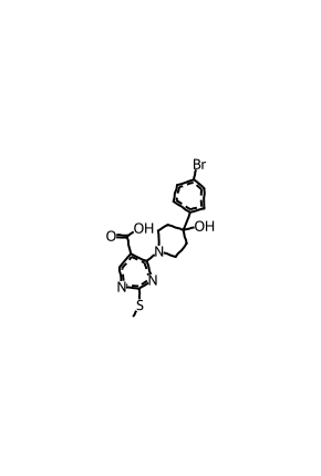 CSc1ncc(C(=O)O)c(N2CCC(O)(c3ccc(Br)cc3)CC2)n1